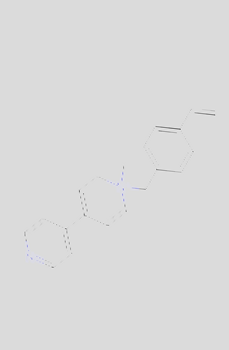 C=Cc1ccc(C[N+]2(C)C=CC(c3ccncc3)=CC2)cc1